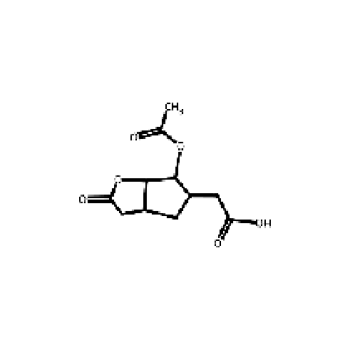 CC(=O)OC1C(CC(=O)O)CC2CC(=O)OC21